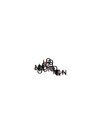 C=NCCC[N+]12CC[N+](CC(=O)O[C@H](C)[C@H]3OC(=O)[C@@H](OC)C[C@H]4C=C[C@@H]5C[C@]4(O[C@H]5[C@H](OC(=O)c4ccc[nH]4)[C@H](C)[C@H](C)O)/C(C)=C/[C@H]3C)(CC1)CC2